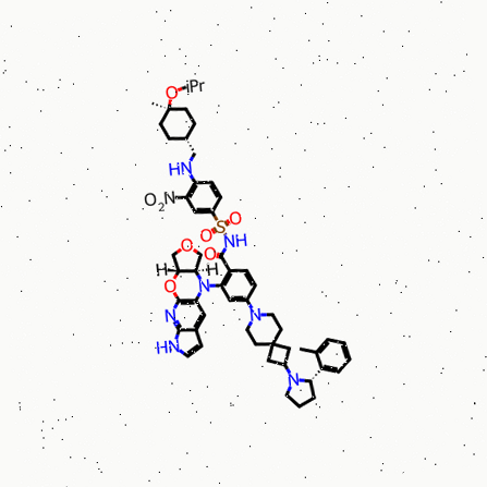 Cc1ccccc1[C@@H]1CCCN1C1CC2(CCN(c3ccc(C(=O)NS(=O)(=O)c4ccc(NC[C@H]5CC[C@](C)(OC(C)C)CC5)c([N+](=O)[O-])c4)c(N4c5cc6cc[nH]c6nc5O[C@@H]5COC[C@H]54)c3)CC2)C1